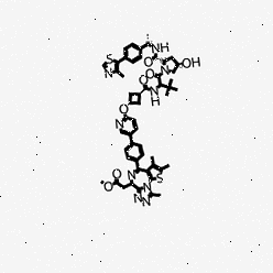 COC(=O)CC1N=C(c2ccc(-c3ccc(O[C@H]4C[C@H](C(=O)NC(C(=O)N5C[C@H](O)C[C@H]5C(=O)N[C@@H](C)c5ccc(-c6scnc6C)cc5)C(C)(C)C)C4)nc3)cc2)c2c(sc(C)c2C)-n2c(C)nnc21